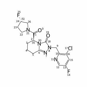 O=C([C@@H]1CCCc2nn(Cc3ncc(F)cc3Cl)c(=O)n21)N1CC[C@H](F)C1